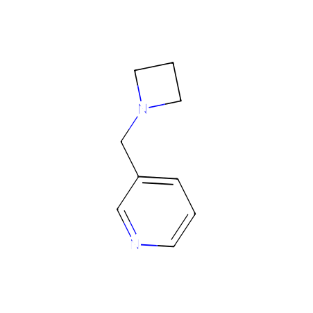 c1cncc(CN2CCC2)c1